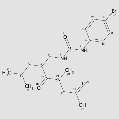 CC(C)CC(CNC(=O)Nc1ccc(Br)cc1)C(=O)N(C)CC(=O)O